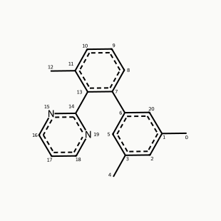 Cc1cc(C)cc(-c2cccc(C)c2-c2ncccn2)c1